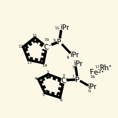 CC(C)P([c-]1cccc1)C(C)C.CC(C)P([c-]1cccc1)C(C)C.[Fe+2].[Rh+]